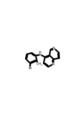 Cc1c(Br)cccc1Nc1ccnc2ccncc12